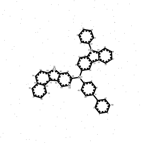 c1ccc(-c2ccc(N(c3ccc4c(c3)c3ccccc3n4-c3ccccc3)c3cc4oc5ccc6ccccc6c5c4cn3)cc2)cc1